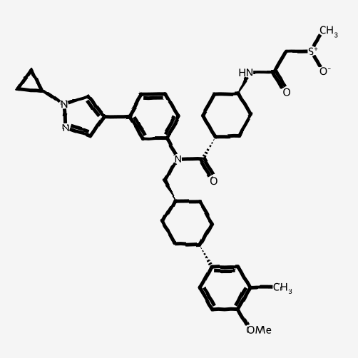 COc1ccc([C@H]2CC[C@H](CN(c3cccc(-c4cnn(C5CC5)c4)c3)C(=O)[C@H]3CC[C@H](NC(=O)C[S+](C)[O-])CC3)CC2)cc1C